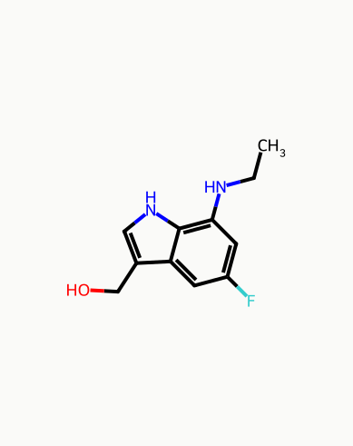 CCNc1cc(F)cc2c(CO)c[nH]c12